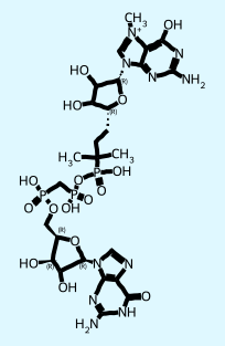 C[n+]1cn([C@@H]2O[C@H](CCC(C)(C)P(=O)(O)OP(=O)(O)CP(=O)(O)OC[C@H]3O[C@@H](n4cnc5c(=O)[nH]c(N)nc54)C(O)[C@H]3O)C(O)C2O)c2nc(N)nc(O)c21